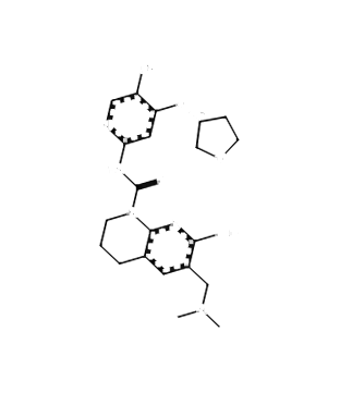 CN(C)Cc1cc2c(nc1C=O)N(C(=O)Nc1cc(O[C@@H]3CCOC3)c(C#N)cn1)CCC2